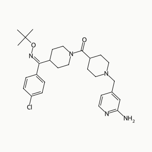 CC(C)(C)ON=C(c1ccc(Cl)cc1)C1CCN(C(=O)C2CCN(Cc3ccnc(N)c3)CC2)CC1